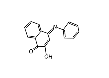 O=C1C(O)=CC(=Nc2ccccc2)c2ccccc21